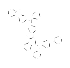 c1ccc(-c2ccc(N(c3ccccc3)c3cc4c5ccc(N(c6ccccc6)c6ccc7c(c6)sc6ccccc67)cc5sc4c4ccccc34)cc2)cc1